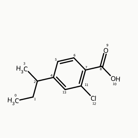 CCC(C)c1ccc(C(=O)O)c(Cl)c1